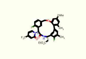 CCOC(=O)C[C@@H]1NC(=O)[C@@H](n2ccc(C(F)(F)F)cc2=O)c2cc(ccc2F)COc2cc(OC)cc(C)c2-c2cc(C)c(F)c1c2